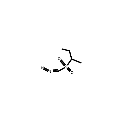 CCC(C)S(=O)(=O)C=[N+]=[N-]